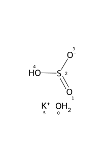 O.O=S([O-])O.[K+]